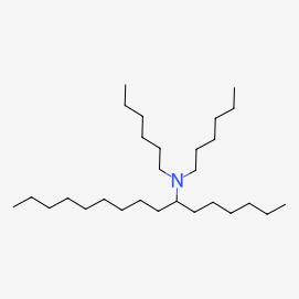 CCCCCCCCCC(CCCCCC)N(CCCCCC)CCCCCC